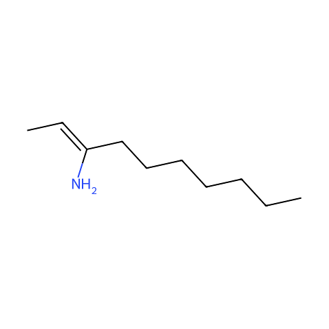 CC=C(N)CCCCCCC